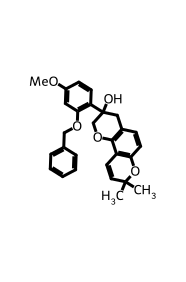 COc1ccc(C2(O)COc3c(ccc4c3C=CC(C)(C)O4)C2)c(OCc2ccccc2)c1